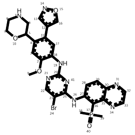 COc1cc(C2CNCCO2)c(-c2cnoc2)cc1Nc1ncc(Br)c(Nc2ccc3nccnc3c2P(C)(C)=O)n1